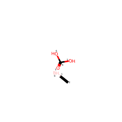 B.C=C.O=C(O)O